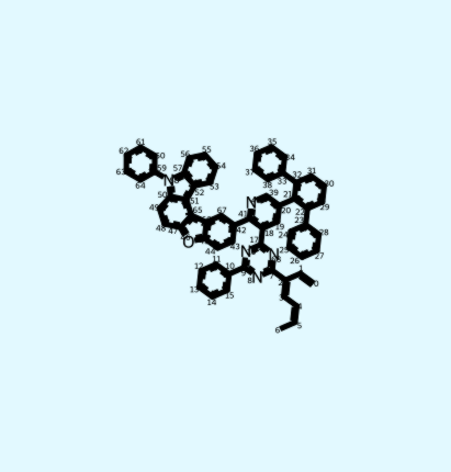 C=C/C(=C\C=C/C)c1nc(-c2ccccc2)nc(-c2cc(-c3c(-c4ccccc4)cccc3-c3ccccc3)cnc2-c2ccc3oc4ccc5c(c6ccccc6n5-c5ccccc5)c4c3c2)n1